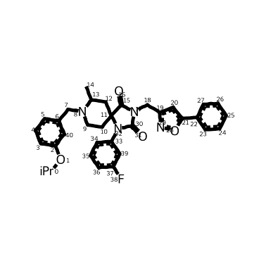 CC(C)Oc1cccc(CN2CCC3(CC2C)C(=O)N(Cc2cc(-c4ccccc4)on2)C(=O)N3c2cccc(F)c2)c1